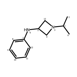 CC(C)N1CC(Nc2ccccc2)C1